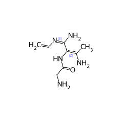 C=C/N=C(N)\C(NC(=O)CN)=C(/C)N